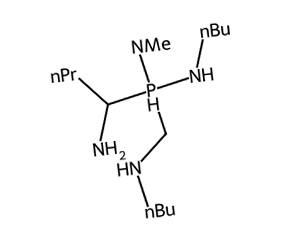 CCCCNC[PH](NC)(NCCCC)C(N)CCC